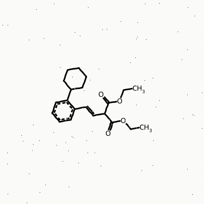 CCOC(=O)C(C=Cc1ccccc1C1CCCCC1)C(=O)OCC